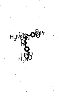 CC(C)S(=O)(=O)c1ccc(-c2cnc(OC(N)=O)c(-c3cc(-c4ccc(C(=O)NC(N)=O)cc4)no3)n2)cc1